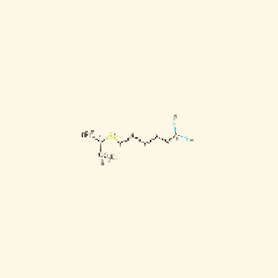 CCCC(SCCCCCC(F)F)C(=O)OCC